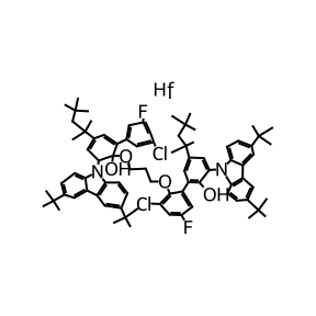 CC(C)(C)CC(C)(C)C1=CC(n2c3ccc(C(C)(C)C)cc3c3cc(C(C)(C)C)ccc32)C(O)(OCCCOc2c(Cl)cc(F)cc2-c2cc(C(C)(C)CC(C)(C)C)cc(-n3c4ccc(C(C)(C)C)cc4c4cc(C(C)(C)C)ccc43)c2O)C(c2cc(F)cc(Cl)c2)=C1.[Hf]